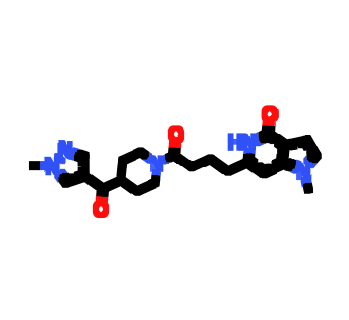 Cn1cc(C(=O)C2CCN(C(=O)CCCc3cc4c(ccn4C)c(=O)[nH]3)CC2)cn1